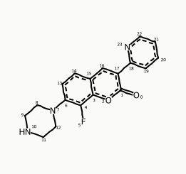 O=c1oc2c(F)c(N3CCNCC3)ccc2cc1-c1ccccn1